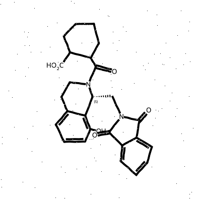 O=C(O)C1CCCCC1C(=O)N1CCc2cccc(O)c2[C@H]1CN1C(=O)c2ccccc2C1=O